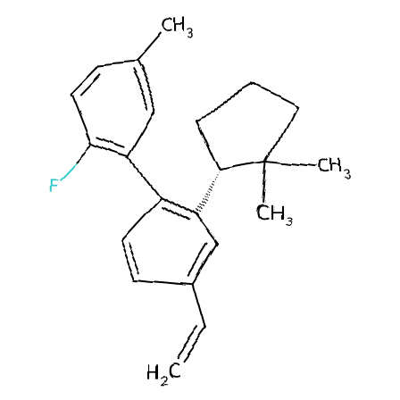 C=Cc1ccc(-c2cc(C)ccc2F)c([C@@H]2CCCC2(C)C)c1